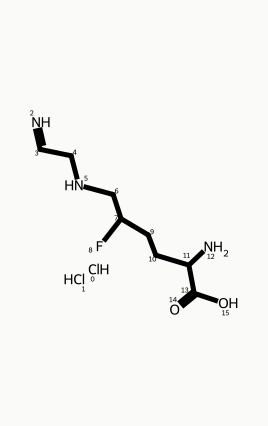 Cl.Cl.N=CCNCC(F)CCC(N)C(=O)O